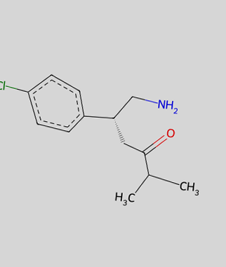 CC(C)C(=O)C[C@@H](CN)c1ccc(Cl)cc1